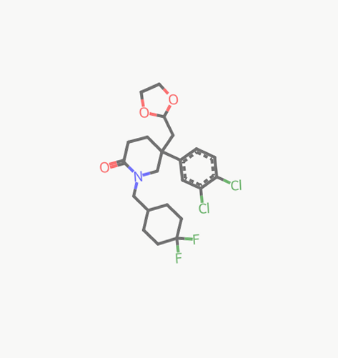 O=C1CCC(CC2OCCO2)(c2ccc(Cl)c(Cl)c2)CN1CC1CCC(F)(F)CC1